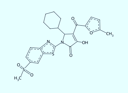 Cc1ccc(C(=O)C2=C(O)C(=O)N(c3nc4ccc(S(C)(=O)=O)cc4s3)C2C2CCCCC2)o1